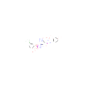 COc1ccc(CN2CCOc3ncc(NS(=O)(=O)c4cc(Cl)ccc4OC)cc3C2=O)c(OC)c1